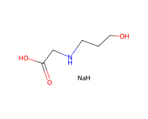 O=C(O)CNCCCO.[NaH]